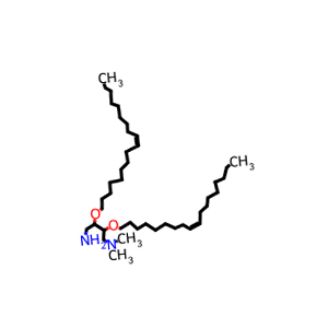 CCCCCCCC/C=C\CCCCCCCCOC(CN)C(CN(C)C)OCCCCCCCC/C=C\CCCCCCCC